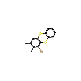 Cc1cc2c(c(Br)c1C)Sc1ccccc1S2